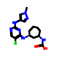 Cn1cc(Nc2ncc(Cl)c(N[C@@H]3CCCC[C@H](NC(=O)O)C3)n2)cn1